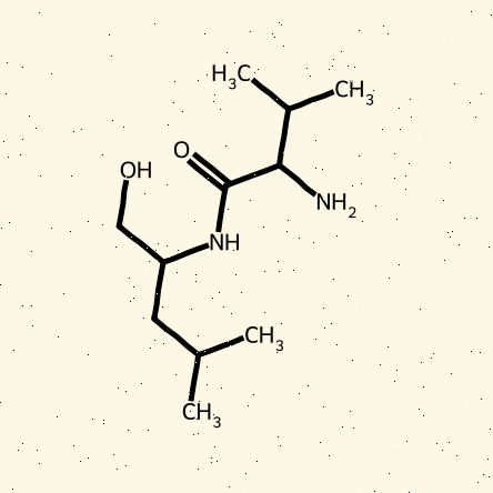 CC(C)CC(CO)NC(=O)C(N)C(C)C